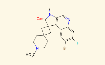 CN1C(=O)C2(CC3(CCN(C(=O)O)CC3)C2)c2c1cnc1cc(F)c(Br)cc21